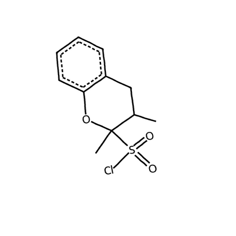 CC1Cc2ccccc2OC1(C)S(=O)(=O)Cl